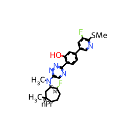 CCC[C@]1(C)CCC[C@H](F)[C@H](N(C)c2cnc(-c3ccc(-c4cnc(SC)c(F)c4)cc3O)nn2)C1